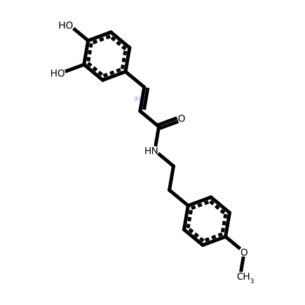 COc1ccc(CCNC(=O)/C=C/c2ccc(O)c(O)c2)cc1